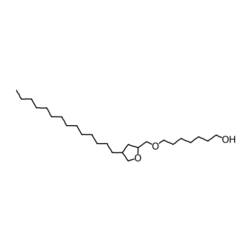 CCCCCCCCCCCCCCC1COC(COCCCCCCCO)C1